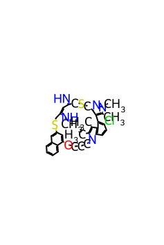 CN/C1=C\C(=N)CSCc2nn(C)c(C)c2-c2c(Cl)ccc3c2c(C)c(C)n3CCCOc2cc(cc3ccccc23)SC1